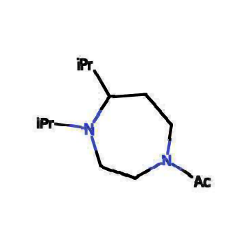 CC(=O)N1CCC(C(C)C)N(C(C)C)CC1